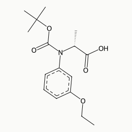 CCOc1cccc(N(C(=O)OC(C)(C)C)[C@H](C)C(=O)O)c1